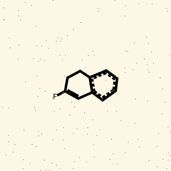 FC1=Cc2ccccc2CC1